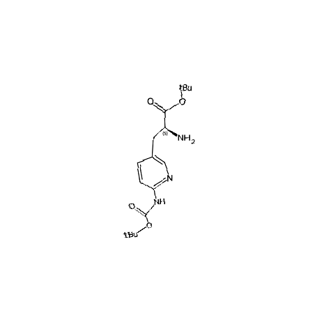 CC(C)(C)OC(=O)Nc1ccc(C[C@H](N)C(=O)OC(C)(C)C)cn1